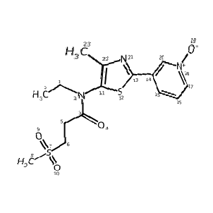 CCN(C(=O)CCS(C)(=O)=O)c1sc(-c2ccc[n+]([O-])c2)nc1C